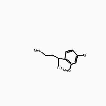 CNCCC(O)c1ccc(Cl)cc1OC